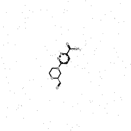 NC(=O)c1ccc(N2CCO[C@H](C=O)C2)nn1